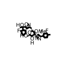 CO[C@@H]1[C@@H](n2cc(-c3ccc(C)c(F)c3F)nn2)[C@@H](O)[C@@H](CO)O[C@@H]1Cc1cc(C(C)(O)c2ccccc2F)on1